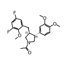 COc1ccc([C@@H]2CN(C(C)=O)C[C@H]2Cc2cc(F)cc(F)c2OC)cc1OC